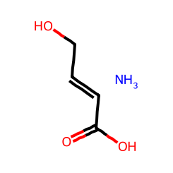 N.O=C(O)C=CCO